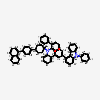 CC1(N(c2ccccc2-c2ccccc2)c2ccccc2-c2cccc(-c3cccc4c3c3ccccc3n4-c3ccccc3)c2)CCC(c2ccc(-c3cccc4ccccc34)cc2)CC1